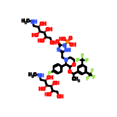 CNC[C@H](O)[C@@H](O)[C@H](O)[C@H](O)CO.CNC[C@H](O)[C@@H](O)[C@H](O)[C@H](O)CO.C[C@@H](OC1OCCN(Cc2nc(=O)n(P(=O)(O)O)[nH]2)C1c1ccc(F)cc1)c1cc(C(F)(F)F)cc(C(F)(F)F)c1